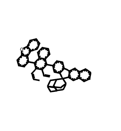 C=Cc1c(/C=C\C)c(-c2cccc3oc4ccccc4c23)c2ccccc2c1-c1ccc2c(c1)C1(c3cc4ccccc4cc3-2)C2CC3CC(C2)CC1C3